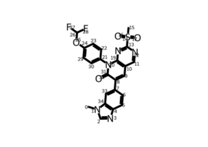 Cn1cnc2ccc(-c3cc4cnc(S(C)(=O)=O)nc4n(-c4ccc(OC(F)F)cc4)c3=O)cc21